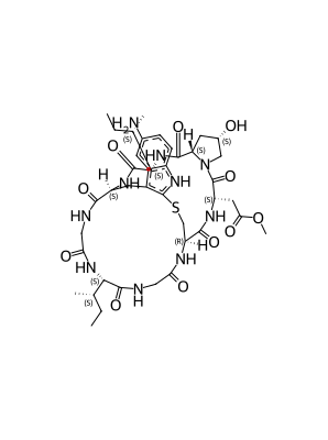 CC[C@H](C)[C@@H]1NC(=O)CNC(=O)[C@@H]2Cc3c([nH]c4ccc(N)cc34)SC[C@H](NC(=O)CNC1=O)C(=O)N[C@@H](CC(=O)OC)C(=O)N1C[C@@H](O)C[C@H]1C(=O)N[C@@H]([C@@H](C)CC)C(=O)N2